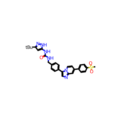 CC(C)(C)c1cc(NC(=O)NCc2ccc(-c3cnc4cc(-c5ccc(S(C)(=O)=O)cc5)ccn34)cc2)[nH]n1